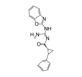 N/C(=N\C(=O)[C@H]1CC1c1ccccc1)Nc1nc2ccccc2o1